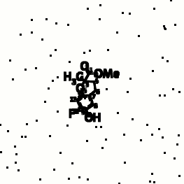 COC(=O)C1(C)CCc2cc(O)c(F)cc2O1